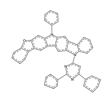 c1ccc(-c2cc(-n3c4ccccc4c4cc5c(cc43)c3cc4c(cc3n5-c3ccccc3)oc3ccccc34)nc(-c3ccccc3)n2)cc1